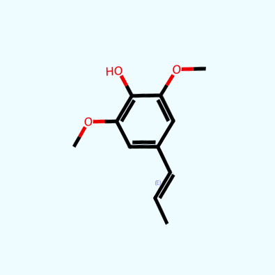 C/C=C/c1cc(OC)c(O)c(OC)c1